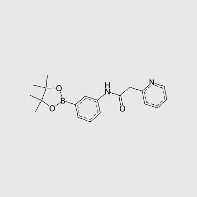 CC1(C)OB(c2cccc(NC(=O)Cc3ccccn3)c2)OC1(C)C